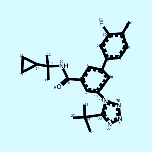 Cc1ccc(-c2cc(C(=O)NC(C)(C)C3CC3)cc(-n3nnnc3C(C)(C)C)c2)cc1F